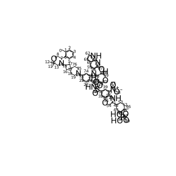 Cc1ccccc1[C@@H]1COC(C)(C)CN1C1CC2(CCN(c3ccc(C(=O)NS(=O)(=O)c4cc5c(c([N+](=O)[O-])c4)N[C@@H](C4CCC(C)(OP(=O)(O)O)CC4)CO5)c(N4c5cc6cc[nH]c6nc5O[C@H]5COCC[C@@H]54)c3)CC2)C1